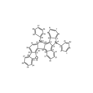 c1ccc(-n2c3ccccc3c3c2c2ccccc2c2c4c5oc6ccccc6c5ccc4n(-c4ccccc4)c23)cc1